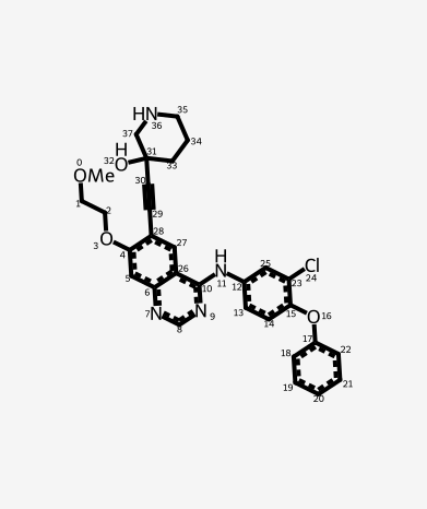 COCCOc1cc2ncnc(Nc3ccc(Oc4ccccc4)c(Cl)c3)c2cc1C#CC1(O)CCCNC1